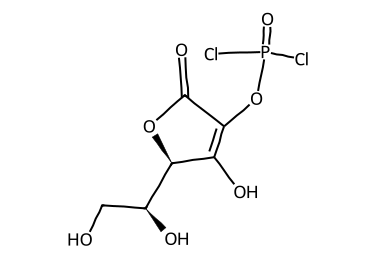 O=C1O[C@H]([C@@H](O)CO)C(O)=C1OP(=O)(Cl)Cl